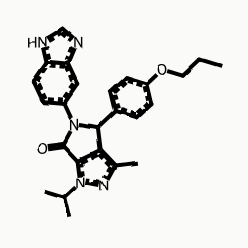 CCCOc1ccc(C2c3c(C)nn(C(C)C)c3C(=O)N2c2ccc3[nH]cnc3c2)cc1